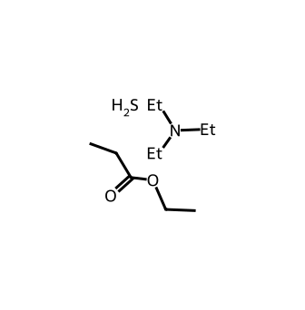 CCN(CC)CC.CCOC(=O)CC.S